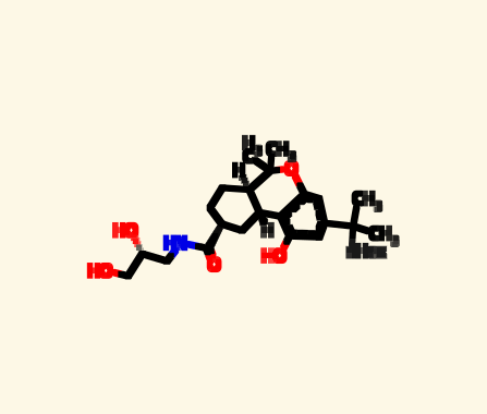 CCCCCCC(C)(C)c1cc(O)c2c(c1)OC(C)(C)[C@@H]1CC[C@H](C(=O)NC[C@@H](O)CO)C[C@@H]21